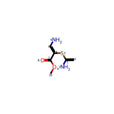 C=C(N)S/C(=C\N)C(=O)OC